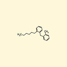 CCCCCCc1ccccc1Cc1ccccc1C